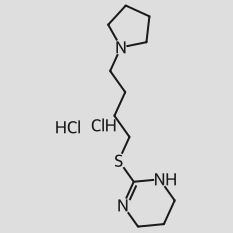 C1CN=C(SCCCCN2CCCC2)NC1.Cl.Cl